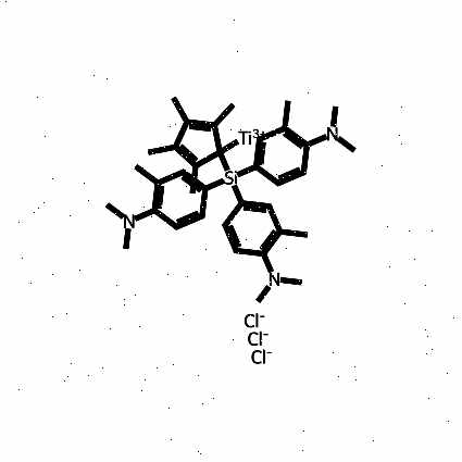 CC1=C(C)[C]([Ti+3])([Si](c2ccc(N(C)C)c(C)c2)(c2ccc(N(C)C)c(C)c2)c2ccc(N(C)C)c(C)c2)C(C)=C1C.[Cl-].[Cl-].[Cl-]